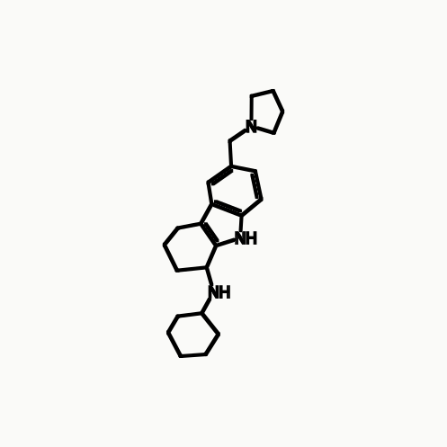 c1cc2[nH]c3c(c2cc1CN1CCCC1)CCCC3NC1CCCCC1